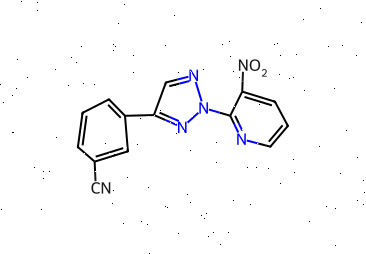 N#Cc1cccc(-c2cnn(-c3ncccc3[N+](=O)[O-])n2)c1